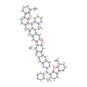 Cc1ccccc1N(c1ccc2cc3c(cc2c1)oc1c(C#N)c2c(cc13)oc1cc3cc(N(c4ccccc4C)c4c(C)ccc5c4oc4c(C(C)(C)C)cccc45)ccc3cc12)c1cccc2c1oc1c(C(C)(C)C)cccc12